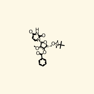 CO[C@@H]1[C@H](OC(=O)c2ccccc2)[C@@H](CO[Si](C)(C)C(C)(C)C)O[C@H]1n1ccc(=O)[nH]c1=O